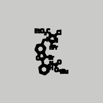 CCCc1nc(Cl)c(C(=O)OCC)n1Cc1ccc2oc(-c3ccccc3NC(=O)OC(C)(C)C)c(Br)c2c1